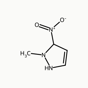 CN1NC=CC1[N+](=O)[O-]